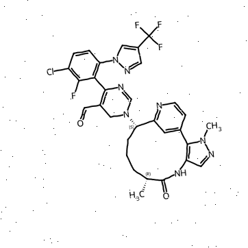 C[C@@H]1CCC[C@H](N2C=NC(c3c(-n4cc(C(F)(F)F)cn4)ccc(Cl)c3F)=C(C=O)C2)c2cc(ccn2)-c2c(cnn2C)NC1=O